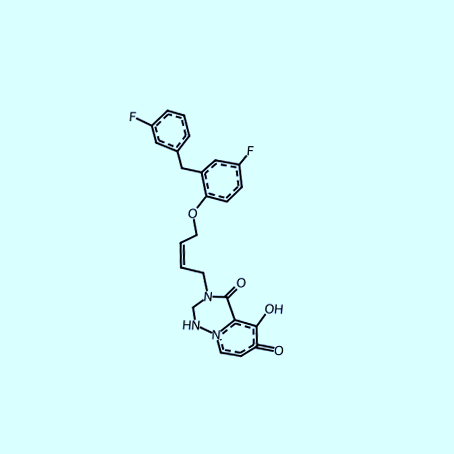 O=C1c2c(O)c(=O)ccn2NCN1C/C=C\COc1ccc(F)cc1Cc1cccc(F)c1